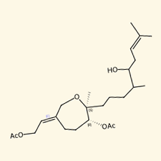 CC(=O)OC/C=C1\CC[C@@H](OC(C)=O)[C@](C)(CCCC(C)C(O)CC=C(C)C)OC1